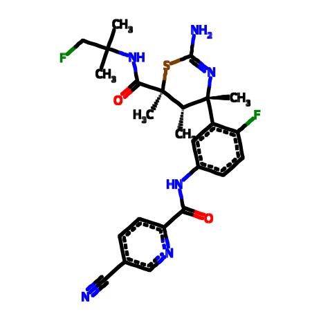 C[C@@H]1[C@@](C)(C(=O)NC(C)(C)CF)SC(N)=N[C@]1(C)c1cc(NC(=O)c2ccc(C#N)cn2)ccc1F